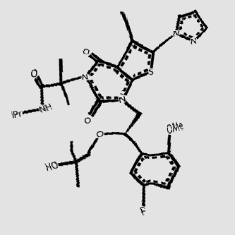 COc1ccc(F)cc1[C@H](Cn1c(=O)n(C(C)(C)C(=O)NC(C)C)c(=O)c2c(C)c(-n3cccn3)sc21)OCC(C)(C)O